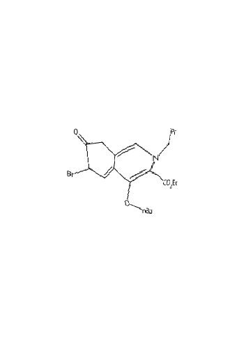 CCCCOC1=C(C(=O)OCC)N(CC(C)C)C=C2CC(=O)C(Br)C=C21